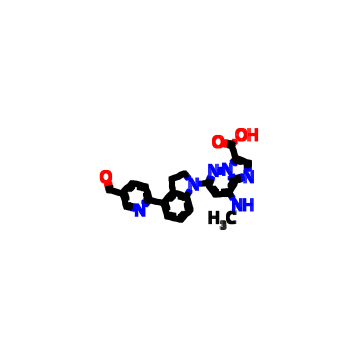 CNc1cc(N2CCc3c(-c4ccc(C=O)cn4)cccc32)nn2c(C(=O)O)cnc12